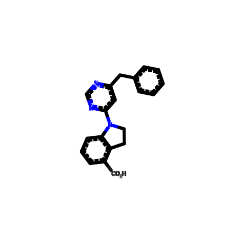 O=C(O)c1cccc2c1CCN2c1cc(Cc2ccccc2)ncn1